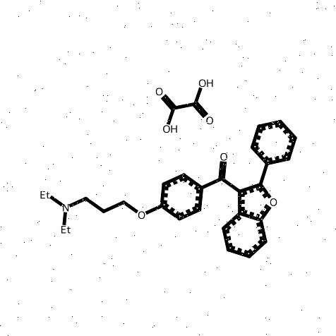 CCN(CC)CCCOc1ccc(C(=O)c2c(-c3ccccc3)oc3ccccc23)cc1.O=C(O)C(=O)O